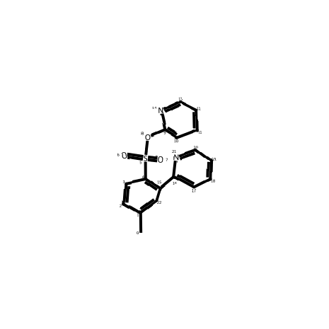 Cc1ccc(S(=O)(=O)Oc2ccccn2)c(-c2ccccn2)c1